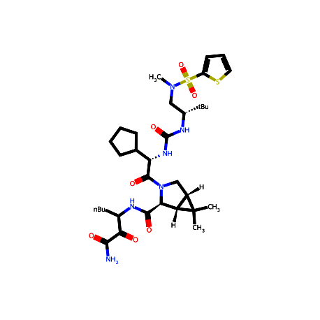 CCCCC(NC(=O)[C@@H]1[C@@H]2[C@H](CN1C(=O)[C@@H](NC(=O)N[C@H](CN(C)S(=O)(=O)c1cccs1)C(C)(C)C)C1CCCC1)C2(C)C)C(=O)C(N)=O